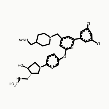 CC(=O)NCC1CCN(Cc2cc(Oc3ccc(N4C[C@H](CNC(=O)O)[C@@H](O)C4)nc3)nc(-c3cc(Cl)cc(Cl)c3)c2)CC1